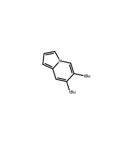 CC(C)(C)c1cc2cccn2cc1C(C)(C)C